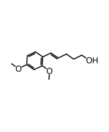 COc1ccc(C=CCCCO)c(OC)c1